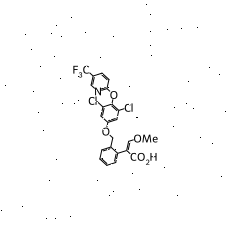 COC=C(C(=O)O)c1ccccc1COc1cc(Cl)c(Oc2ccc(C(F)(F)F)cn2)c(Cl)c1